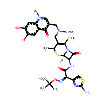 CCCCCN(CC1=C(C(=O)O)N2C(=O)[C@@H](NC(=O)/C(=N\OC(C)(C)C(=O)O)c3csc(N)n3)[C@H]2S[C@H]1C)Cc1cn(C(C)C)c2cc(O)c(O)cc2c1=O